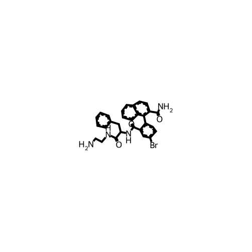 NCCNC(=O)C(Cc1ccccc1)NC(=O)c1cc(Br)ccc1-c1c(C(N)=O)ccc2ccccc12